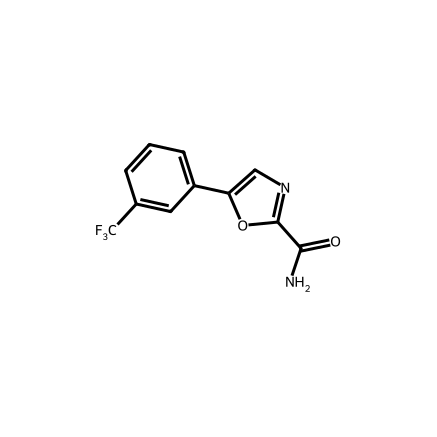 NC(=O)c1ncc(-c2cccc(C(F)(F)F)c2)o1